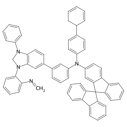 C=Nc1ccccc1N1CN(c2ccccc2)c2ccc(-c3cccc(N(c4ccc(C5C=CC=CC5)cc4)c4ccc5c(c4)C4(c6ccccc6-c6ccccc64)c4ccccc4-5)c3)cc21